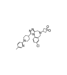 Cc1ccc(N2CCC(c3nnc4n3-c3ccc(Cl)cc3CN(C3CS(=O)(=O)C3)C4)CC2)nc1